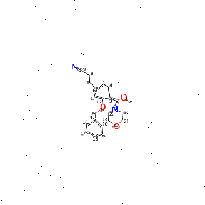 COC(=C1CC=C(CCC#N)C=C1OCc1ccccc1)N1CCOCC1